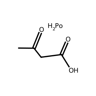 CC(=O)CC(=O)O.[PoH2]